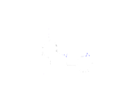 ICc1ccc(I)cc1N1Cc2cccnc2C1